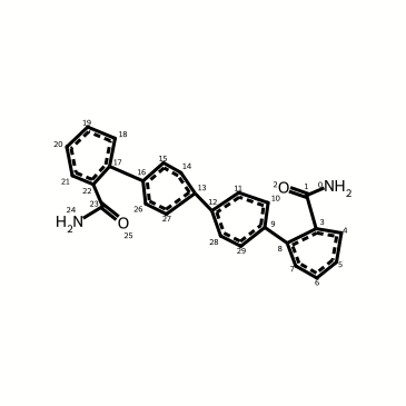 NC(=O)c1ccccc1-c1ccc(-c2ccc(-c3ccccc3C(N)=O)cc2)cc1